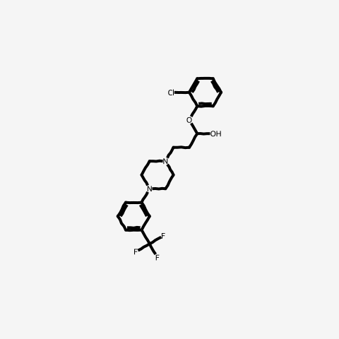 OC(CCN1CCN(c2cccc(C(F)(F)F)c2)CC1)Oc1ccccc1Cl